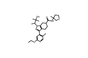 CCOc1cc(-c2nn(C(C)C(C)(C)O)c3c2CCC(C(=O)NC2(C)CCSC2)C3)c(F)cn1